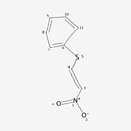 O=[N+]([O-])C=CSc1ccccc1